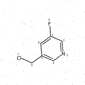 Fc1cncc(CCl)c1